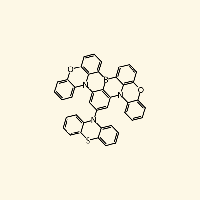 c1ccc2c(c1)Oc1cccc3c1N2c1cc(N2c4ccccc4Sc4ccccc42)cc2c1B3c1cccc3c1N2c1ccccc1O3